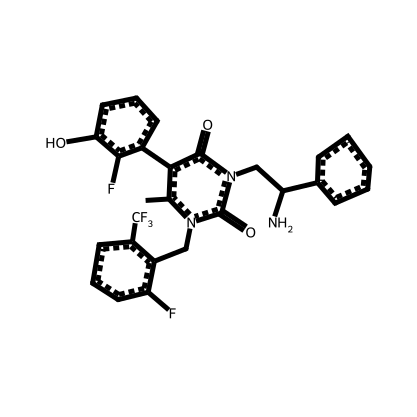 Cc1c(-c2cccc(O)c2F)c(=O)n(CC(N)c2ccccc2)c(=O)n1Cc1c(F)cccc1C(F)(F)F